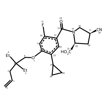 C=CCC(CC)(CC)COc1cc(F)c(C(=O)N2C[C@@H](C#N)C[C@H]2C(=O)O)cc1C1CC1